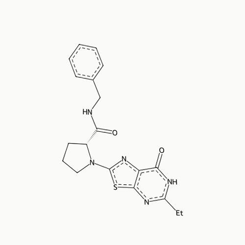 CCc1nc2sc(N3CCC[C@@H]3C(=O)NCc3ccccc3)nc2c(=O)[nH]1